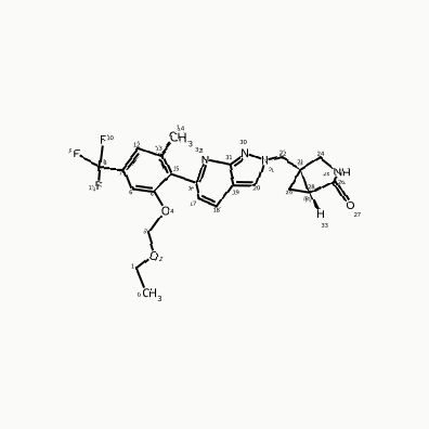 CCOCOc1cc(C(F)(F)F)cc(C)c1-c1ccc2cn(CC34CNC(=O)[C@@H]3C4)nc2n1